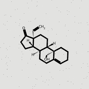 C=C[C@]12CC[C@H]3[C@@H](CCC4=CCCC[C@@]43CO)[C@@H]1CCC2=O